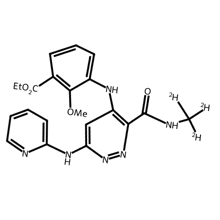 [2H]C([2H])([2H])NC(=O)c1nnc(Nc2ccccn2)cc1Nc1cccc(C(=O)OCC)c1OC